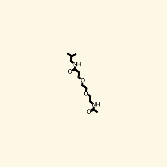 CC(=O)NCCOCCOCCC(=O)NCC(C)C